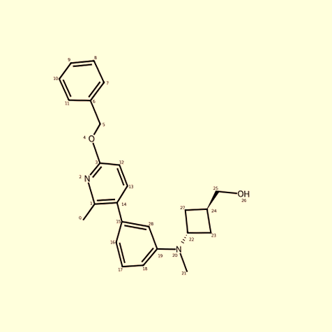 Cc1nc(OCc2ccccc2)ccc1-c1cccc(N(C)[C@H]2C[C@H](CO)C2)c1